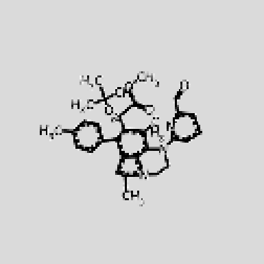 COC(=O)[C@@H](OC(C)(C)C)c1c(C)c2c3c(cc(C)n3CCN2c2cccc(C=O)n2)c1-c1ccc(C)cc1